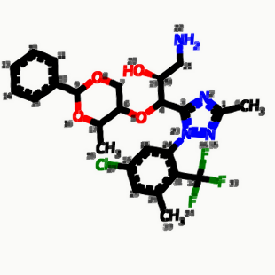 Cc1nc(C(OC2COC(c3ccccc3)OC2C)[C@@H](O)CN)n(-c2cc(Cl)cc(C)c2C(F)(F)F)n1